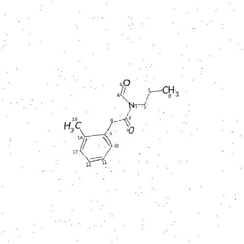 CCCN(C=O)C(=O)Cc1ccccc1C